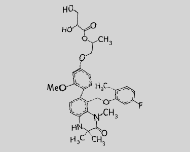 COc1cc(OCC(C)OC(=O)C(O)CO)ccc1-c1ccc2c(c1COc1cc(F)ccc1C)N(C)C(=O)C(C)(C)N2